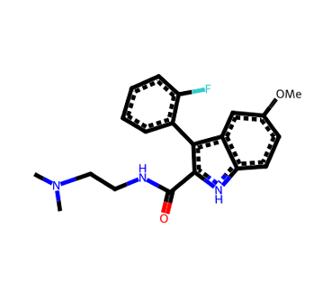 COc1ccc2[nH]c(C(=O)NCCN(C)C)c(-c3ccccc3F)c2c1